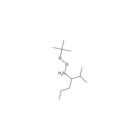 CCCC([SiH2]OOC(C)(C)C)C(C)C